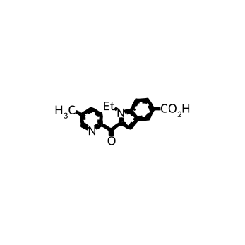 CCn1c(C(=O)c2ccc(C)cn2)cc2cc(C(=O)O)ccc21